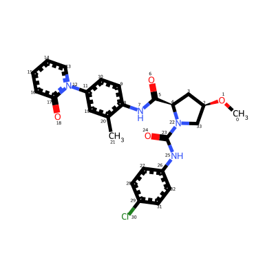 CO[C@@H]1C[C@H](C(=O)Nc2ccc(-n3ccccc3=O)cc2C)N(C(=O)Nc2ccc(Cl)cc2)C1